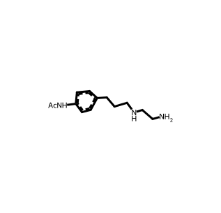 CC(=O)Nc1ccc(CCCNCCN)cc1